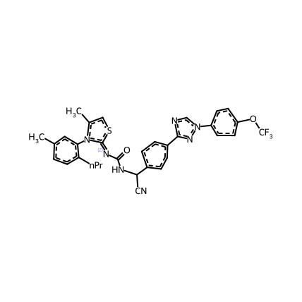 CCCc1ccc(C)cc1-n1c(C)cs/c1=N\C(=O)NC(C#N)c1ccc(-c2ncn(-c3ccc(OC(F)(F)F)cc3)n2)cc1